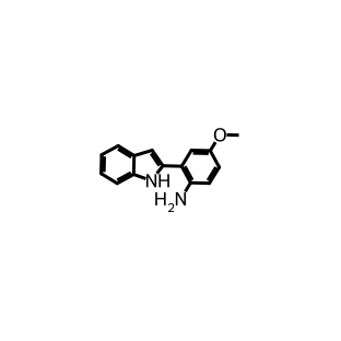 COc1ccc(N)c(-c2cc3ccccc3[nH]2)c1